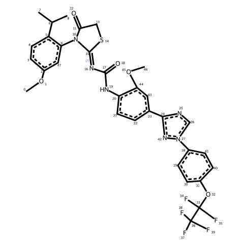 COc1ccc(C(C)C)c(N2C(=O)CS/C2=N\C(=O)Nc2ccc(-c3ncn(-c4ccc(OC(F)(F)C(F)(F)F)cc4)n3)cc2OC)c1